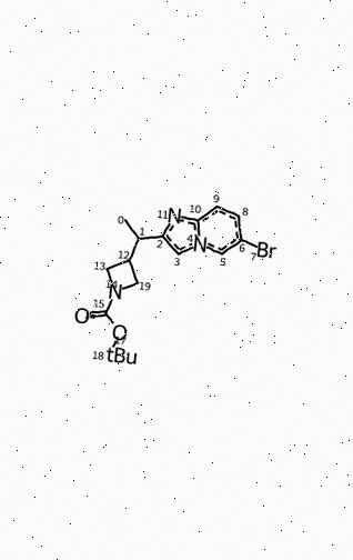 CC(c1cn2cc(Br)ccc2n1)C1CN(C(=O)OC(C)(C)C)C1